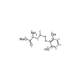 COC(=O)C(N)CC(C)CCc1c(O)cccc1O